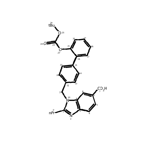 CCCc1nc2ccc(C(=O)O)cc2n1Cc1ccc(-c2ccccc2OC(=O)OC(C)(C)C)cc1